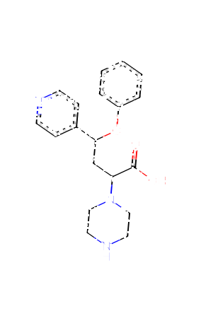 O=C(O)C(CC(Oc1ccccc1)c1ccncc1)N1CCNCC1